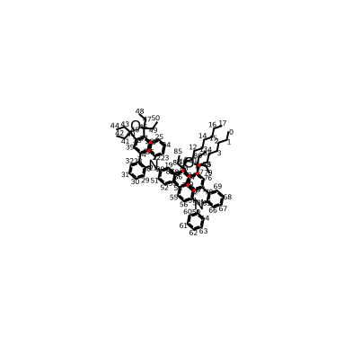 CCCCCCCCc1c(CCCCCCCC)c2cc(N(c3ccccc3)c3ccccc3-c3ccc4c(c3)C(CC)(CC)OC4(CC)CC)ccc2c2ccc(N(c3ccccc3)c3ccccc3-c3ccc4c(c3)C(CC)(CC)OC4(CC)CC)cc12